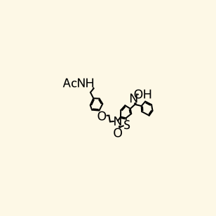 CC(=O)NCCc1ccc(OCCn2c(=O)sc3cc(/C(=N/O)c4ccccc4)ccc32)cc1